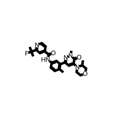 Cc1ccc(NC(=O)c2ccnc(C(C)(C)F)c2)cc1-c1cc(N2CCOCC2C)c(=O)n(C)n1